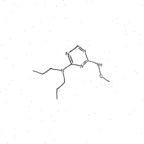 CCCN(CCC)c1ncnc(NOC)n1